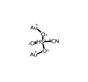 N#C[SH](=O)([O][Au])[O][Au]